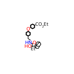 CCOC(=O)c1ccc(Oc2ccc(CCNC(=O)C(O)(CC)C3C4CC5CC(C4)CC3C5)cc2)cc1